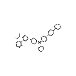 CCC(C)c1ccc(-c2ccc(N(c3ccccc3)c3ccc(-c4ccc(-c5ccccc5)cc4)cc3)cc2)cc1-c1ccccc1C